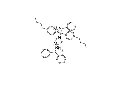 BC(c1ccccc1)c1ccccc1.CCCCc1ccc(C([SiH2]c2ccccc2)(c2ccc(CCCC)cc2)n2ccnc2)cc1